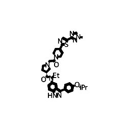 CCN(C(=O)[C@@H]1CCN(CC(=O)N2CC=C(c3ncc(-c4ncn(C)n4)s3)CC2)C1)c1ccc2[nH]nc(-c3ccc(OC(C)C)cc3)c2c1